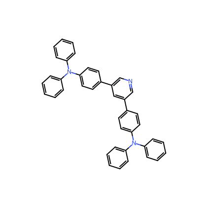 c1ccc(N(c2ccccc2)c2ccc(-c3cncc(-c4ccc(N(c5ccccc5)c5ccccc5)cc4)c3)cc2)cc1